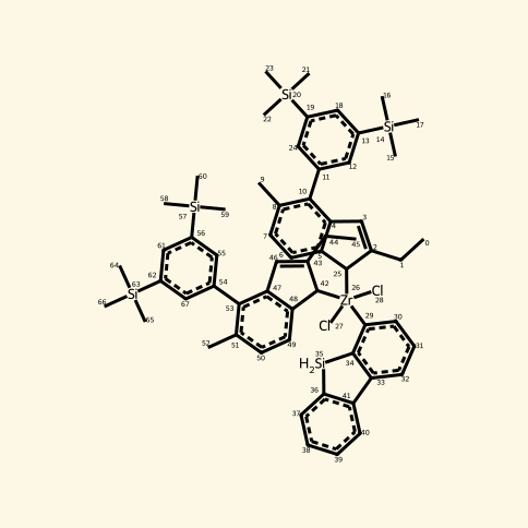 CCC1=Cc2c(ccc(C)c2-c2cc([Si](C)(C)C)cc([Si](C)(C)C)c2)[CH]1[Zr]([Cl])([Cl])([c]1cccc2c1[SiH2]c1ccccc1-2)[CH]1C(CC)=Cc2c1ccc(C)c2-c1cc([Si](C)(C)C)cc([Si](C)(C)C)c1